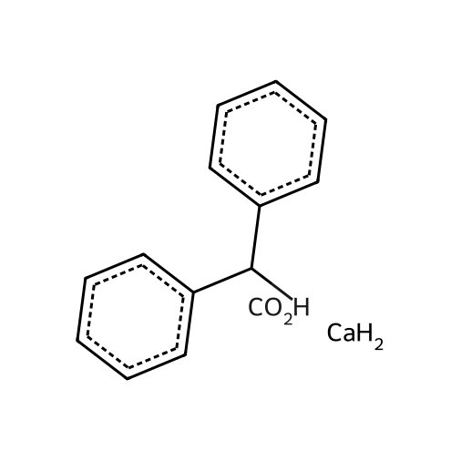 O=C(O)C(c1ccccc1)c1ccccc1.[CaH2]